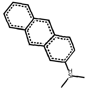 C[SiH](C)c1ccc2cc3ccccc3cc2c1